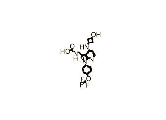 O=C(O)NCc1nn(-c2ccc(OC(F)(F)F)cc2)c2nccc(NC3CC(O)C3)c12